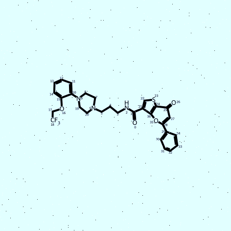 O=C(NCCCN1CCN(c2ccccc2OCC(F)(F)F)CC1)c1csc2c(=O)cc(-c3ccccc3)oc12